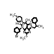 CSc1nc(N(C(=O)O)c2cccc(Br)c2)c2c(C(C)CN3CCN(C)CC3)nn(CC(C)c3ccccc3)c2n1